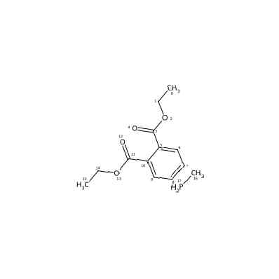 CCOC(=O)c1ccccc1C(=O)OCC.CP